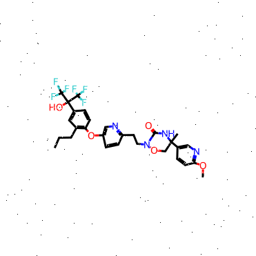 CCCc1cc(C(O)(C(F)(F)F)C(F)(F)F)ccc1Oc1ccc(CCN2OCC(C)(c3ccc(OC)nc3)NC2=O)nc1